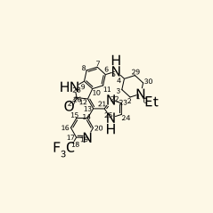 CCN1CCC(Nc2ccc3c(c2)C(=C(c2ccc(C(F)(F)F)nc2)c2ncc[nH]2)C(=O)N3)CC1